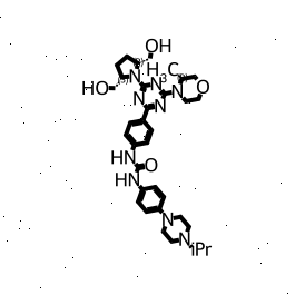 CC(C)N1CCN(c2ccc(NC(=O)Nc3ccc(-c4nc(N5CCOC[C@H]5C)nc(N5[C@H](CO)CC[C@@H]5CO)n4)cc3)cc2)CC1